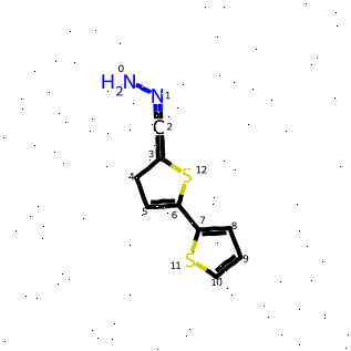 NN=C=C1CC=C(c2cccs2)S1